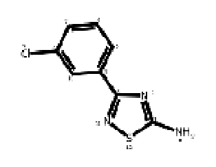 Nc1nc(-c2cccc(Cl)c2)ns1